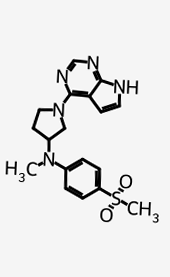 CN(c1ccc(S(C)(=O)=O)cc1)C1CCN(c2ncnc3[nH]ccc23)C1